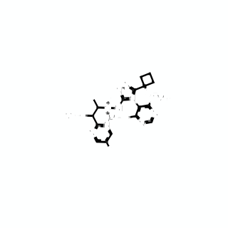 COc1ncnc(OC)c1-n1c(NS(=O)(=O)C(C)C(OC)c2ncc(Cl)cn2)nnc1C1(O)CCC1